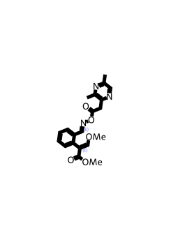 CO/C=C(/C(=O)OC)c1ccccc1/C=N/OC(=O)Cc1ncc(C)nc1C